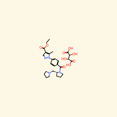 CCOC(=O)c1cnn(-c2ccc(C(=O)N3CCC[C@H]3CN3CCCC3)cc2)c1C.O=C(O)C(O)C(O)C(=O)O